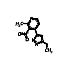 CCn1cc(-c2ccnc(C)c2[N+](=O)[O-])nn1